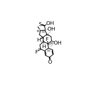 C[C@@H]1C[C@H]2[C@@H]3C[C@H](F)C4=CC(=O)C=C[C@]4(C)[C@@]3(F)[C@H](O)C[C@]2(C)[C@]1(O)C(O)=S